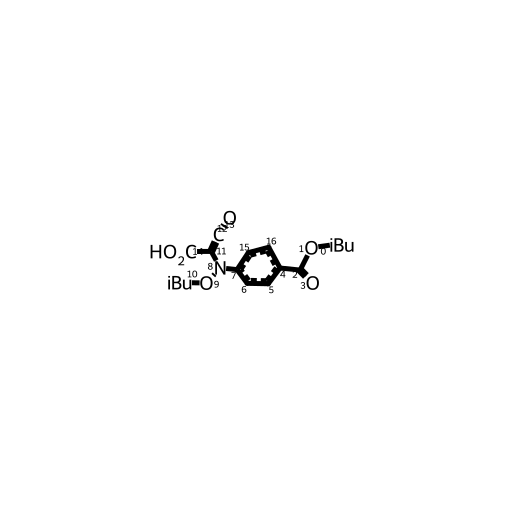 CCC(C)OC(=O)c1ccc(N(OC(C)CC)C(=C=O)C(=O)O)cc1